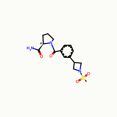 CS(=O)(=O)N1CC(c2cccc(C(=O)N3CCC[C@@H]3C(N)=O)c2)C1